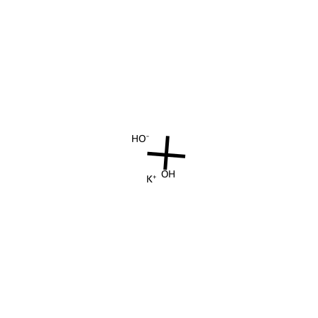 CC(C)(C)O.[K+].[OH-]